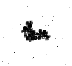 C=CC(=O)N1C[C@@H](n2nc(C#Cc3c(F)cc4c(ncn4C4CC4)c3F)c(C(N)=O)c2N)C/C1=C\OC(F)F